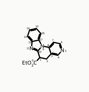 CCOC(=O)C1Cc2cnccc2-n2c1nc1ccccc12